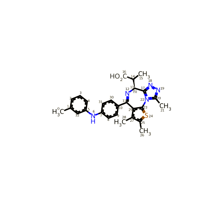 Cc1cccc(Nc2ccc(C3=N[C@@H](C(C)C(=O)O)c4nnc(C)n4-c4sc(C)c(C)c43)cc2)c1